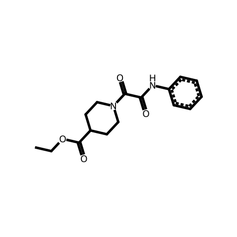 CCOC(=O)C1CCN(C(=O)C(=O)Nc2ccccc2)CC1